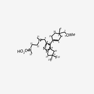 COCC1(C)CC=C(c2c(CN(C)CCN(C)C(=O)O)nn3c2CC(F)(F)C3)CC1